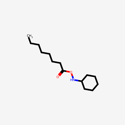 CCCCCCCC(=O)ONC1CCCCC1